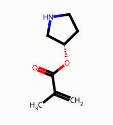 C=C(C)C(=O)O[C@H]1CCNC1